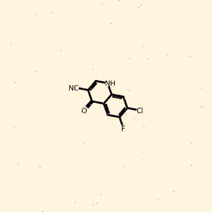 N#Cc1c[nH]c2cc(Cl)c(F)cc2c1=O